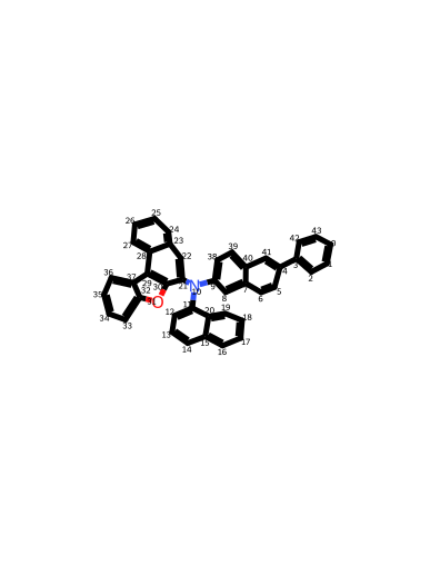 c1ccc(-c2ccc3cc(N(c4cccc5ccccc45)c4cc5ccccc5c5c4oc4ccccc45)ccc3c2)cc1